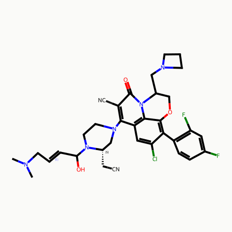 CN(C)C/C=C/C(O)N1CCN(c2c(C#N)c(=O)n3c4c(c(-c5ccc(F)cc5F)c(Cl)cc24)OCC3CN2CCC2)C[C@@H]1CC#N